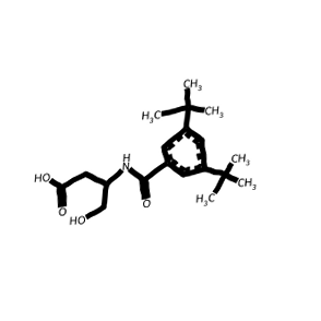 CC(C)(C)c1cc(C(=O)NC(CO)CC(=O)O)cc(C(C)(C)C)c1